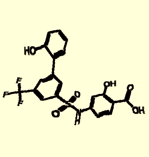 O=C(O)c1ccc(NS(=O)(=O)c2cc(-c3ccccc3O)cc(C(F)(F)F)c2)cc1O